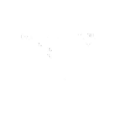 Cc1ccc(-c2nn(-c3nc(C(=O)O)cs3)c(CC3CC3)c2Cc2ccc(S(N)(=O)=O)cc2)cc1OC1CCCC1